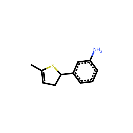 CC1=CCC(c2cccc(N)c2)S1